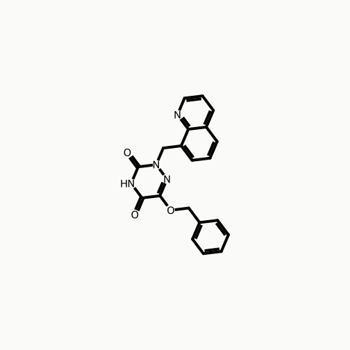 O=c1[nH]c(=O)n(Cc2cccc3cccnc23)nc1OCc1ccccc1